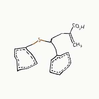 C=C(CC(Sc1ccccc1)c1ccccc1)C(=O)O